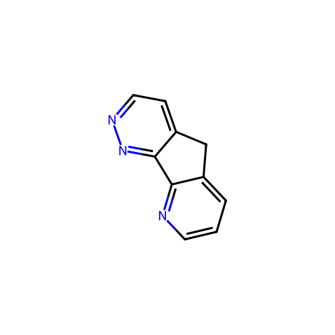 c1cnc2c(c1)Cc1ccnnc1-2